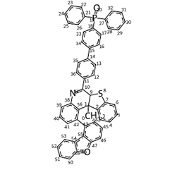 CC12c3ccccc3SC1C(c1ccc(-c3ccc(P(=O)(c4ccccc4)c4ccccc4)cc3)cc1)=Nc1cccc(-c3cccc4oc5ccccc5c34)c12